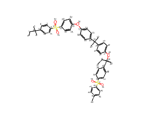 CCC(C)(C)c1ccc(S(=O)(=O)c2ccc(Oc3ccc(C(C)(C)c4ccc(OC(C)(CC)c5ccc(S(=O)(=O)c6ccc(C)cc6)cc5)cc4)cc3)cc2)cc1